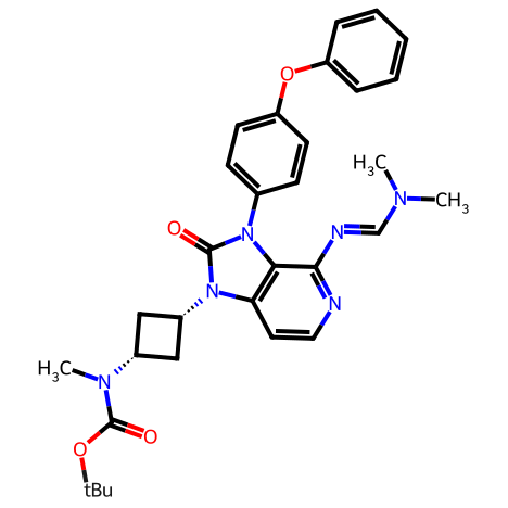 CN(C)/C=N/c1nccc2c1n(-c1ccc(Oc3ccccc3)cc1)c(=O)n2[C@H]1C[C@@H](N(C)C(=O)OC(C)(C)C)C1